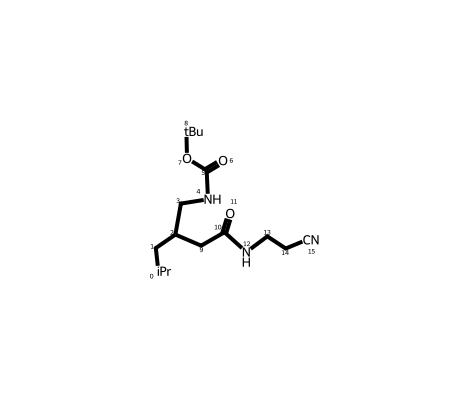 CC(C)CC(CNC(=O)OC(C)(C)C)CC(=O)NCCC#N